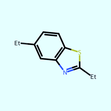 CCc1ccc2sc(CC)nc2c1